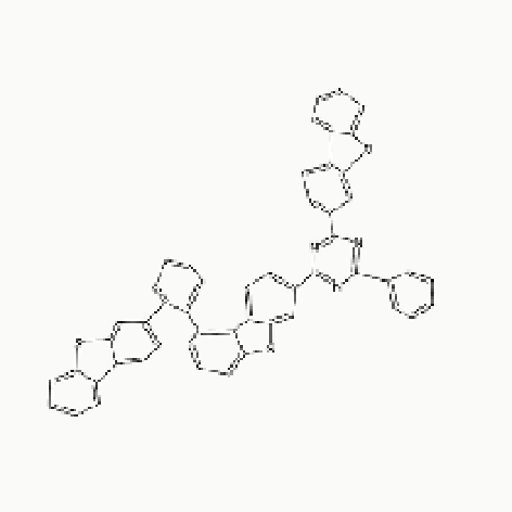 c1ccc(-c2nc(-c3ccc4c(c3)oc3ccccc34)nc(-c3ccc4c(c3)sc3cccc(-c5ccccc5-c5ccc6c(c5)sc5ccccc56)c34)n2)cc1